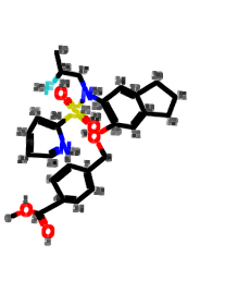 COC(=O)c1ccc(COc2cc3c(cc2N(CC(C)F)S(=O)(=O)c2ccccn2)CCC3)cc1